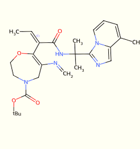 C=NC1=C(/C(=C\C)C(=O)NC(C)(C)c2ncc3c(C)cccn23)OCCN(C(=O)OC(C)(C)C)C1